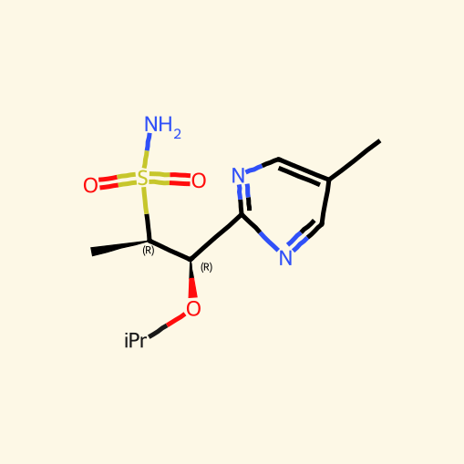 Cc1cnc([C@@H](OC(C)C)[C@@H](C)S(N)(=O)=O)nc1